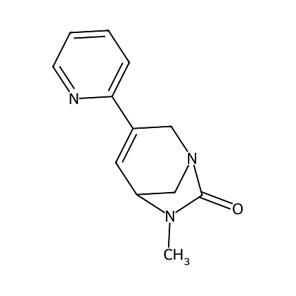 CN1C(=O)N2CC(c3ccccn3)=CC1C2